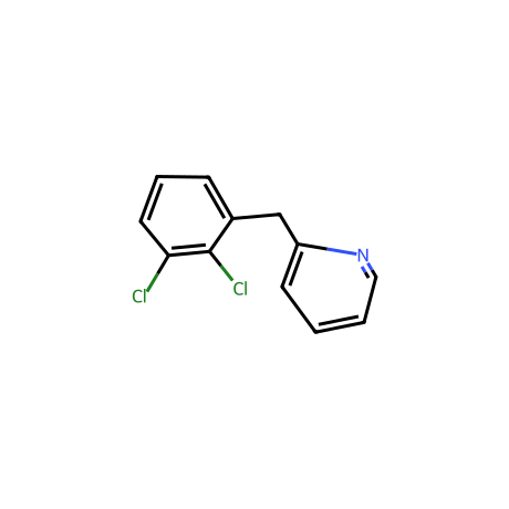 Clc1cccc(Cc2ccccn2)c1Cl